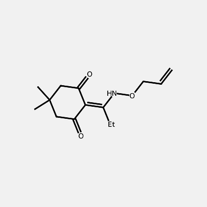 C=CCONC(CC)=C1C(=O)CC(C)(C)CC1=O